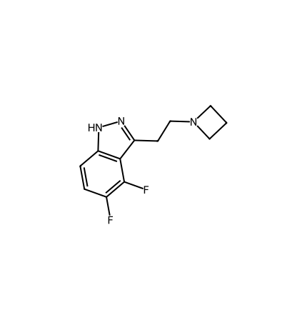 Fc1ccc2[nH]nc(CCN3CCC3)c2c1F